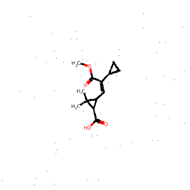 COC(=O)/C(=C\C1C(C(=O)O)C1(C)C)C1CC1